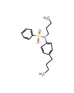 CCCCc1ccc(N(CCCC)S(=O)(=O)c2ccccc2)cc1